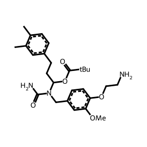 COc1cc(CN(C(N)=O)C(CCc2ccc(C)c(C)c2)OC(=O)C(C)(C)C)ccc1OCCN